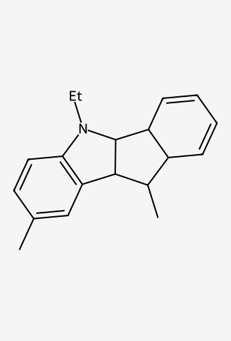 CCN1c2ccc(C)cc2C2C(C)C3C=CC=CC3C21